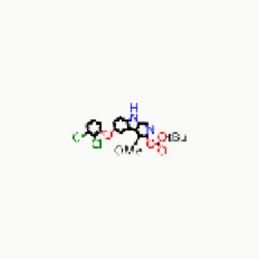 COCc1c(OC(=O)OC(C)(C)C)ncc2[nH]c3ccc(Oc4cccc(Cl)c4Cl)cc3c12